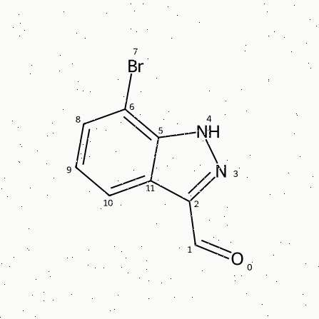 O=Cc1n[nH]c2c(Br)cccc12